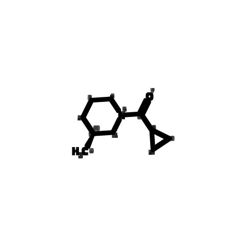 C[C@H]1CCCN(C(=O)C2CC2)C1